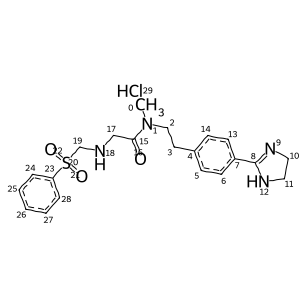 CN(CCc1ccc(C2=NCCN2)cc1)C(=O)CNCS(=O)(=O)c1ccccc1.Cl